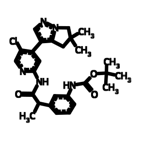 CC(C(=O)Nc1cc(-c2cnn3c2CC(C)(C)C3)c(Cl)cn1)c1cccc(NC(=O)OC(C)(C)C)c1